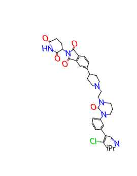 C/C(Cl)=C(\C=N/C(C)C)c1cccc(N2CCCN(CCN3CCC(c4ccc5c(c4)C(=O)N(C4CCC(=O)NC4=O)C5=O)CC3)C2=O)c1